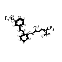 O[C@H](CCN(C(F)F)C(F)(F)F)COc1ccccc1CCc1cccc(OC(F)(F)F)c1